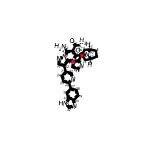 CC(=O)c1c(C2C[C@H]3CC[C@@H](C2)N3C(=O)c2nnc[nH]2)nc2c(-c3ccc(-c4ccc5nc[nH]c5c4)nc3)cnn2c1N